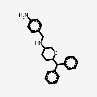 Nc1ccc(CNC2CCC(C(c3ccccc3)c3ccccc3)OC2)cc1